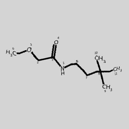 COCC(=O)NCCC(C)(C)C